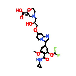 COc1cc(-c2cnc3cc(OCC(O)CN4CCO[C@H](C(=O)O)C4)ccn23)cc(OC(F)F)c1C(=O)NC1CC1